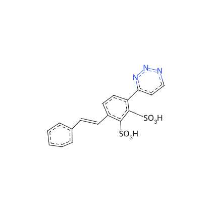 O=S(=O)(O)c1c(C=Cc2ccccc2)ccc(-c2ccnnn2)c1S(=O)(=O)O